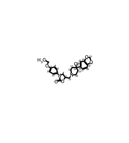 CCOc1ccc(N2CC(CN3CCC(O)(c4ccc5c(c4)OCO5)CC3)OC2=O)cc1